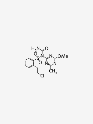 COc1nc(C)nc(N(C(N)=O)S(=O)(=O)c2ccccc2CCCl)n1